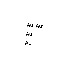 [Au].[Au].[Au].[Au]